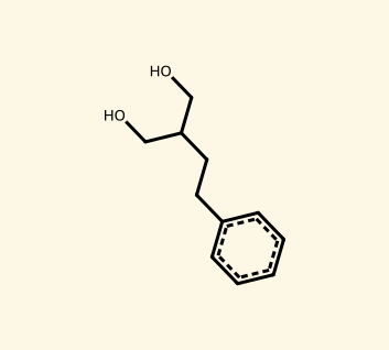 OCC(CO)CCc1ccccc1